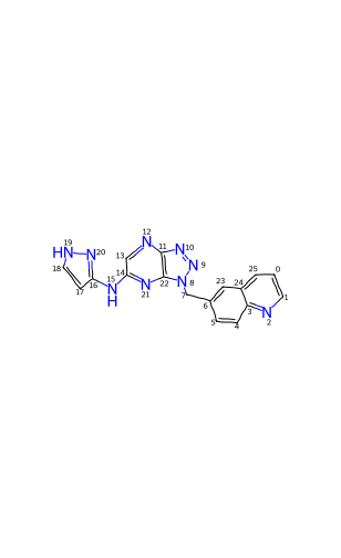 c1cnc2ccc(Cn3nnc4ncc(Nc5cc[nH]n5)nc43)cc2c1